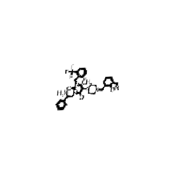 Cc1c(N2CCN(Cc3cccc4cnoc34)CC2)c(=O)n(C[C@H](N)c2ccccc2)c(=O)n1Cc1c(F)cccc1C(F)(F)F